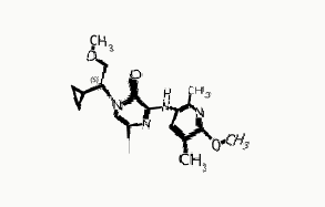 COC[C@H](C1CC1)n1cc(I)nc(Nc2cc(C)c(OC)nc2C)c1=O